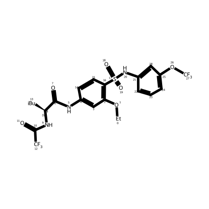 CCOc1cc(NC(=O)[C@@H](NC(=O)C(F)(F)F)C(C)CC)ccc1S(=O)(=O)Nc1cccc(OC(F)(F)F)c1